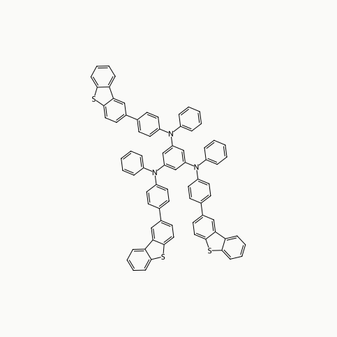 c1ccc(N(c2ccc(-c3ccc4sc5ccccc5c4c3)cc2)c2cc(N(c3ccccc3)c3ccc(-c4ccc5sc6ccccc6c5c4)cc3)cc(N(c3ccccc3)c3ccc(-c4ccc5sc6ccccc6c5c4)cc3)c2)cc1